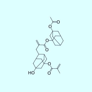 C=C(C)C(=O)OC12CC3CC(O)(CC(C1)C3CC(=C)C(=O)OC13CC4CC(CC(OC(C)=O)(C4)C1)C3)C2